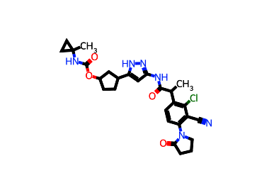 CC(C(=O)Nc1cc(C2CCC(OC(=O)NC3(C)CC3)C2)[nH]n1)c1ccc(N2CCCC2=O)c(C#N)c1Cl